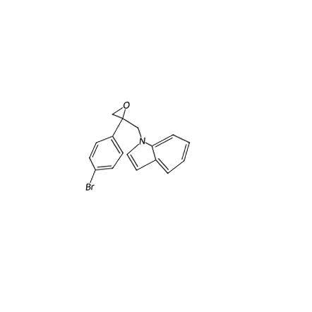 Brc1ccc(C2(Cn3ccc4ccccc43)CO2)cc1